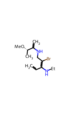 C=CC(NCC)=C(Br)CNC(=C)[C@H](C)OC